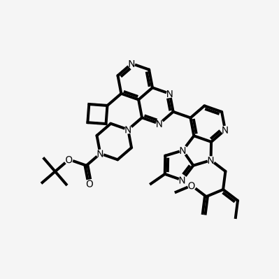 C=C(OC)/C(=C\C)Cn1c2nccc(-c3nc(N4CCN(C(=O)OC(C)(C)C)CC4)c4c(C5CCC5)cncc4n3)c2n2cc(C)nc12